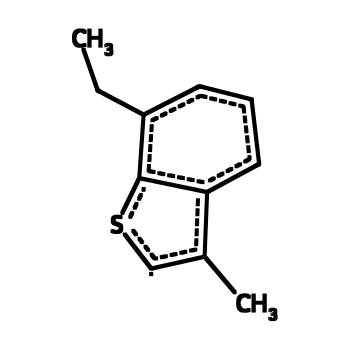 CCc1cccc2c(C)[c]sc12